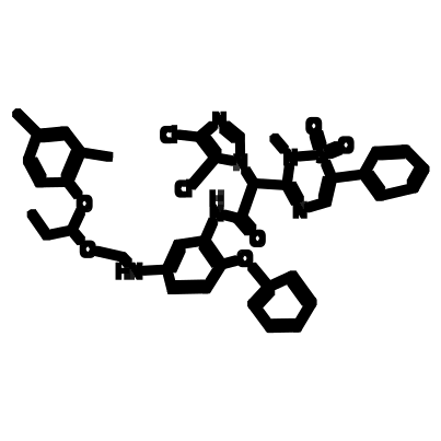 CCC(OCNc1ccc(Oc2ccccc2)c(NC(=O)C(C2=NC=C(c3ccccc3)S(=O)(=O)N2C)n2cnc(Cl)c2Cl)c1)Oc1ccc(C)cc1C